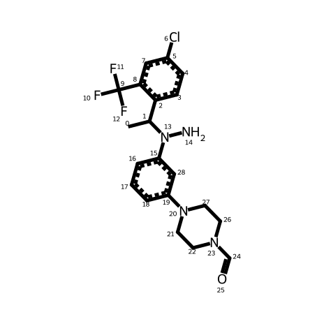 CC(c1ccc(Cl)cc1C(F)(F)F)N(N)c1cccc(N2CCN(C=O)CC2)c1